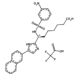 O=C(O)C(F)(F)F.O=C(O)CCCCC[C@H](NS(=O)(=O)c1cccc([N+](=O)[O-])c1)c1ncc(-c2ccc3ccccc3c2)[nH]1